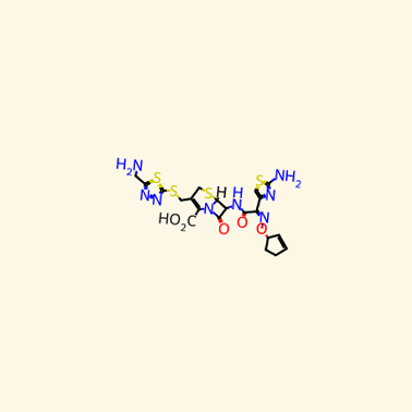 NCc1nnc(SCC2=C(C(=O)O)N3C(=O)C(NC(=O)/C(=N\OC4C=CCC4)c4csc(N)n4)[C@H]3SC2)s1